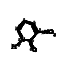 CCn1cccc([N+](=O)[O-])c1=O